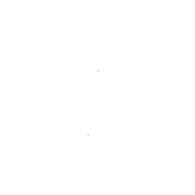 CC(C)(C)[Si](C)(C)OCC1CC[C@@H]2C(C(=O)O)[C@@H]2CC1